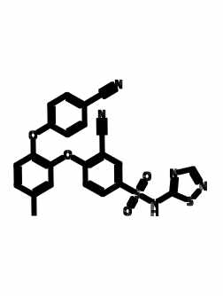 Cc1ccc(Oc2ccc(C#N)cc2)c(Oc2ccc(S(=O)(=O)Nc3ncns3)cc2C#N)c1